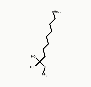 CCCCCCCCCCCCCCC(C)(O)ON